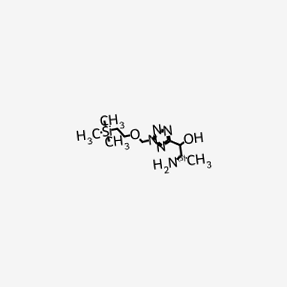 C[C@H](N)C(O)c1nnn(COCC[Si](C)(C)C)n1